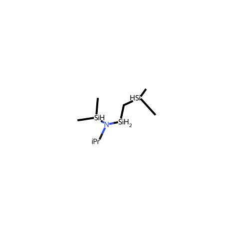 CC(C)N([SiH2]C[SiH](C)C)[SiH](C)C